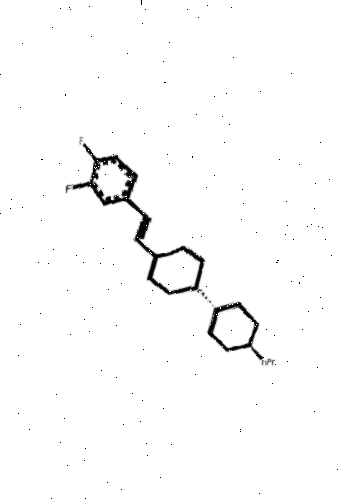 CCC[C@H]1CC[C@H](C2CCC(C=Cc3ccc(F)c(F)c3)CC2)CC1